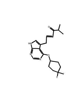 CC(C)C(=O)C=CCc1c[nH]c2ncnc(OC3CCC(F)(F)CC3)c12